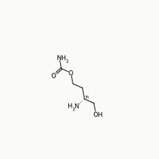 NC(=O)OCC[C@@H](N)CO